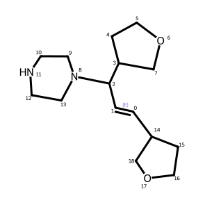 C(=C\C(C1CCOC1)N1CCNCC1)/C1CCOC1